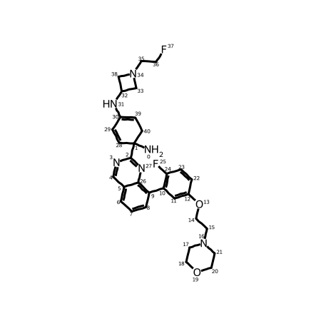 NC1(c2ncc3cccc(-c4cc(OCCN5CCOCC5)ccc4F)c3n2)C=CC(NC2CN(CCF)C2)=CC1